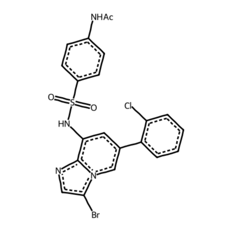 CC(=O)Nc1ccc(S(=O)(=O)Nc2cc(-c3ccccc3Cl)cn3c(Br)cnc23)cc1